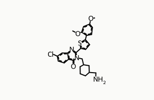 COc1ccc(-c2ccc(-c3nc4cc(Cl)ccc4c(=O)n3CC3CCCC(CN)C3)s2)c(OC)c1